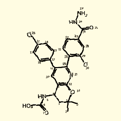 CC1(C)C[C@@H](NC(=O)O)c2cc(-c3ccc(Cl)cc3)c(-c3ccc(C(=O)NN)cc3Cl)nc2O1